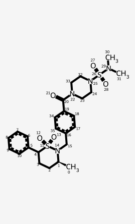 C[C@H]1CCC(c2ccccc2)S(=O)(=O)N1Cc1ccc(C(=O)N2CCN(S(=O)(=O)N(C)C)CC2)cc1